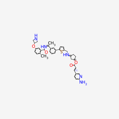 Cc1ccc(OC2CNC2)cc1C(=O)N[C@H](C)c1cccc(-c2ccc(CN[C@H]3CC[C@@H](OC(=O)/C=C/c4ccc(N)nc4)C3)s2)c1